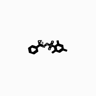 Cc1cc(C)c(S(=O)(=O)O/N=C(/c2ccccc2)C(F)(F)F)c(C)c1